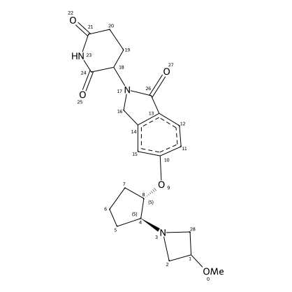 COC1CN([C@H]2CCC[C@@H]2Oc2ccc3c(c2)CN(C2CCC(=O)NC2=O)C3=O)C1